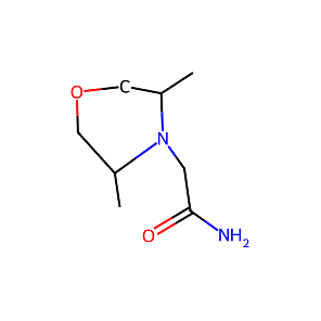 CC1COCC(C)N1CC(N)=O